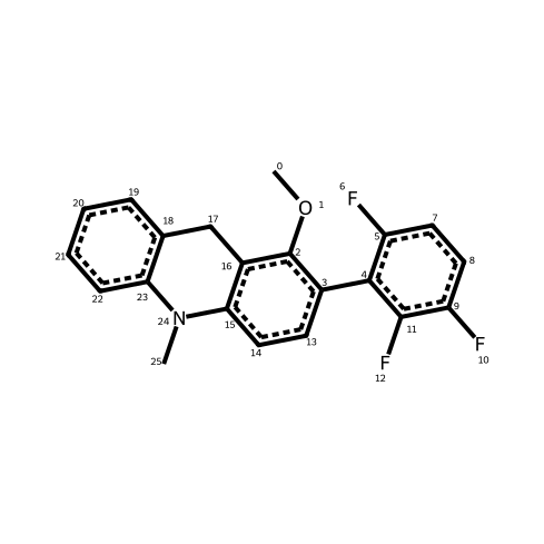 COc1c(-c2c(F)ccc(F)c2F)ccc2c1Cc1ccccc1N2C